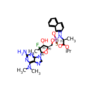 CC(C)OC(=O)[C@H](C)N[P@](=S)(OC[C@H]1O[C@@H](n2cnc3c(N(C)C)nc(N)nc32)[C@](C)(F)[C@@H]1O)Oc1cccc2ccccc12